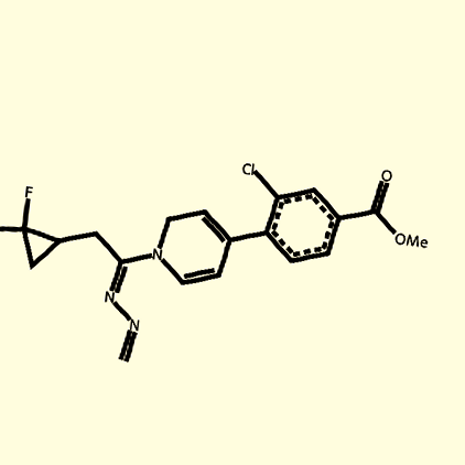 C=N/N=C(/CC1CC1(F)F)N1C=CC(c2ccc(C(=O)OC)cc2Cl)=CC1